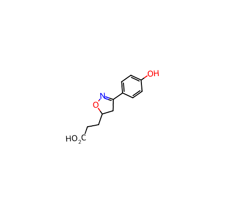 O=C(O)CCC1CC(c2ccc(O)cc2)=NO1